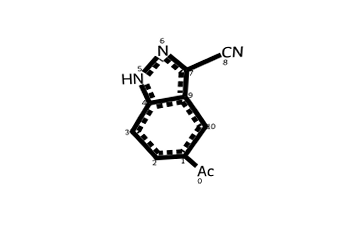 CC(=O)c1ccc2[nH]nc(C#N)c2c1